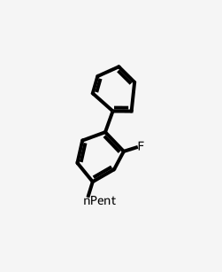 CCCCCc1ccc(-c2ccccc2)c(F)c1